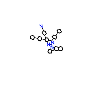 N#Cc1ccc(-c2cc3c(-c4ccc(-c5ccccc5)cc4)nc(-n4c5ccccc5c5cc6ccccc6cc54)nc3cc2-c2ccc(-c3ccccc3)cc2)cc1